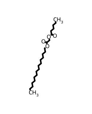 CCCCCCCCCCCCCCCCOC(=O)COC(=O)CCCCC